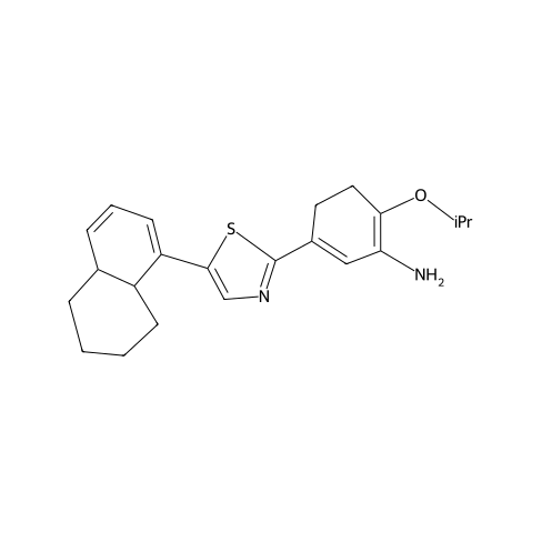 CC(C)OC1=C(N)C=C(c2ncc(C3=CC=CC4CCCCC34)s2)CC1